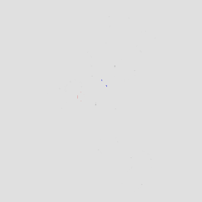 c1ccc(C2(c3ccccc3)c3ccccc3-c3c(N(c4ccc(-c5cccc(-c6cccc7ccccc67)c5)cc4)c4cccc5c4oc4ccccc45)cccc32)cc1